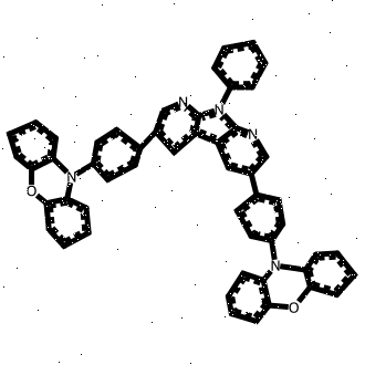 c1ccc(-n2c3ncc(-c4ccc(N5c6ccccc6Oc6ccccc65)cc4)cc3c3cc(-c4ccc(N5c6ccccc6Oc6ccccc65)cc4)cnc32)cc1